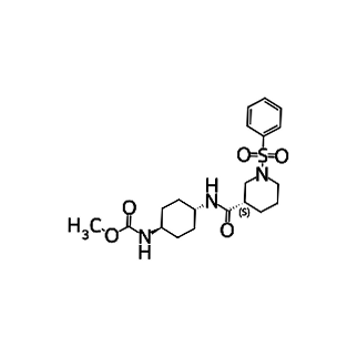 COC(=O)N[C@H]1CC[C@H](NC(=O)[C@H]2CCCN(S(=O)(=O)c3ccccc3)C2)CC1